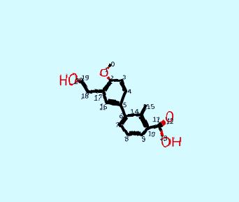 COc1ccc(-c2cccc(C(=O)O)c2C)cc1CCO